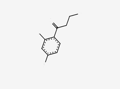 CC(C)CCC(=O)c1ccc(F)cc1Cl